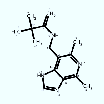 C=C(NCc1c(C)nc(C)c2nc[nH]c12)C(C)(C)C